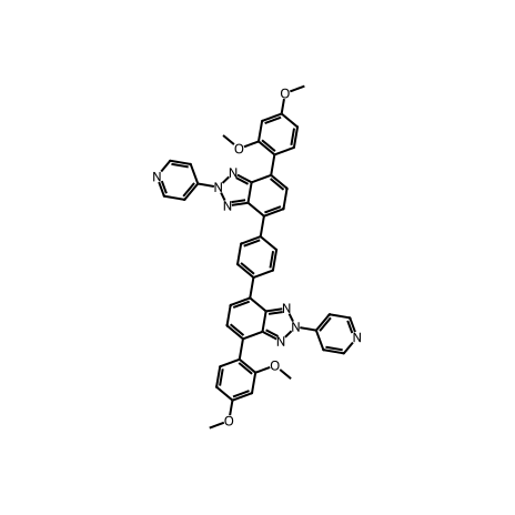 COc1ccc(-c2ccc(-c3ccc(-c4ccc(-c5ccc(OC)cc5OC)c5nn(-c6ccncc6)nc45)cc3)c3nn(-c4ccncc4)nc23)c(OC)c1